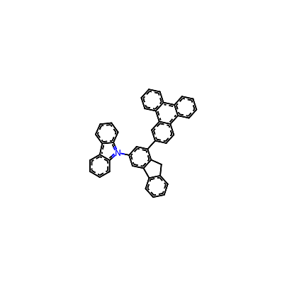 c1ccc2c(c1)Cc1c(-c3ccc4c5ccccc5c5ccccc5c4c3)cc(-n3c4ccccc4c4ccccc43)cc1-2